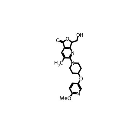 COc1ccc(OC2CCN(c3nc4c(cc3C)C(=O)OC4CO)CC2)cn1